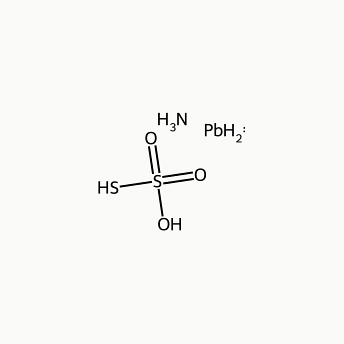 N.O=S(=O)(O)S.[PbH2]